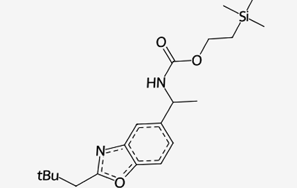 CC(NC(=O)OCC[Si](C)(C)C)c1ccc2oc(CC(C)(C)C)nc2c1